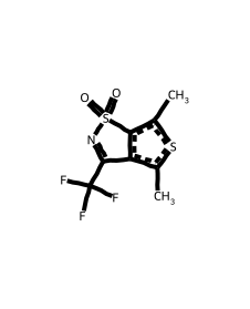 Cc1sc(C)c2c1C(C(F)(F)F)=NS2(=O)=O